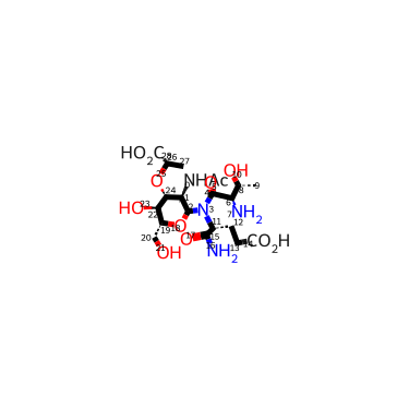 CC(=O)N[C@H]1C(N(C(=O)[C@@H](N)[C@@H](C)O)[C@H](CCC(=O)O)C(N)=O)O[C@H](CO)[C@@H](O)[C@@H]1O[C@H](C)C(=O)O